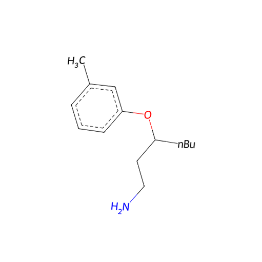 CCCCC(CCN)Oc1cccc(C)c1